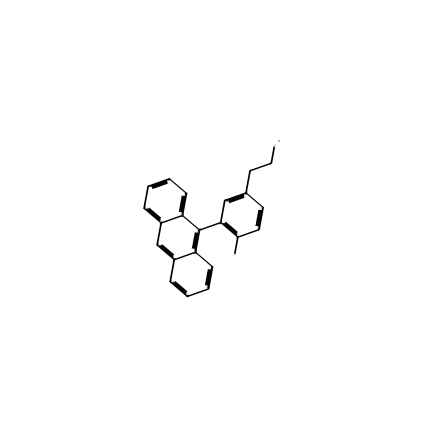 OCCc1ccc(O)c(-c2c3ccccc3cc3ccccc23)c1